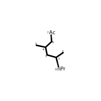 CCCC(C)CC(C)CC(C)=O